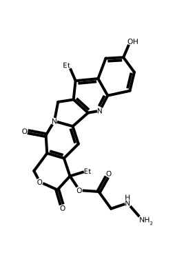 CCc1c2c(nc3ccc(O)cc13)-c1cc3c(c(=O)n1C2)COC(=O)C3(CC)OC(=O)CNN